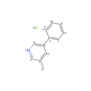 Cc1cncc(-c2ccccc2F)c1